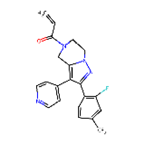 C=CC(=O)N1CCn2nc(-c3ccc(C(F)(F)F)cc3F)c(-c3ccncc3)c2C1